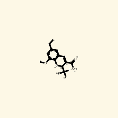 CCc1cc2c(c(OC)c1)OC(C(F)(F)F)C(C(=O)O)=C2